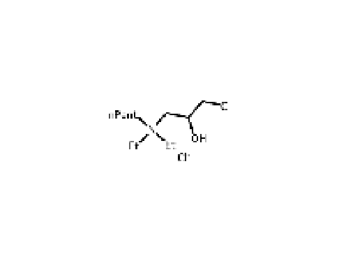 CCCCC[N+](CC)(CC)CC(O)CCl.[Cl-]